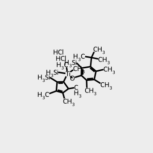 CC1=C(C)C(C)[C]([Ti]([CH3])([CH3])([SiH3])[O]c2c(C)c(C)c(C)c(C(C)(C)C)c2[SiH3])=C1[SiH3].Cl.Cl